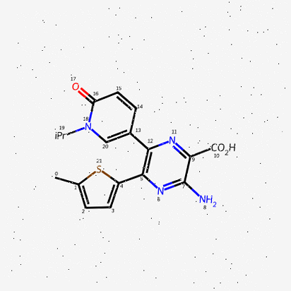 Cc1ccc(-c2nc(N)c(C(=O)O)nc2-c2ccc(=O)n(C(C)C)c2)s1